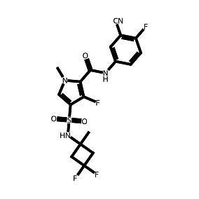 Cn1cc(S(=O)(=O)NC2(C)CC(F)(F)C2)c(F)c1C(=O)Nc1ccc(F)c(C#N)c1